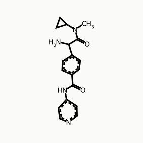 CN(C(=O)C(N)c1ccc(C(=O)Nc2ccncc2)cc1)C1CC1